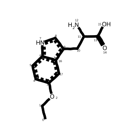 CCOc1ccc2[nH]cc(CC(N)C(=O)O)c2c1